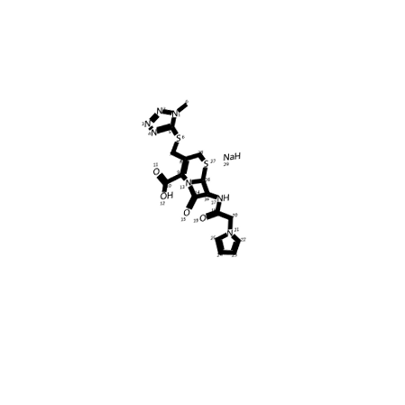 Cn1nnnc1SCC1=C(C(=O)O)N2C(=O)C(NC(=O)Cn3cccc3)C2SC1.[NaH]